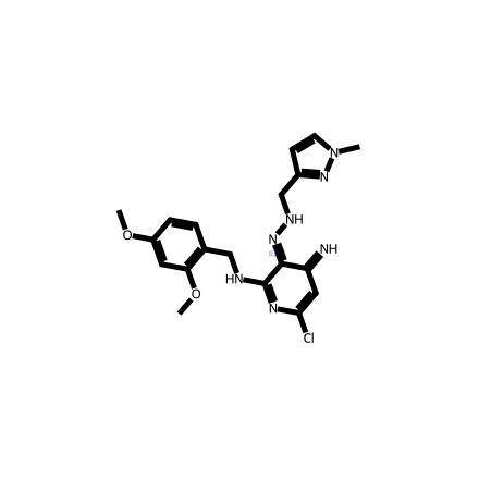 COc1ccc(CNC2=NC(Cl)=CC(=N)/C2=N\NCc2ccn(C)n2)c(OC)c1